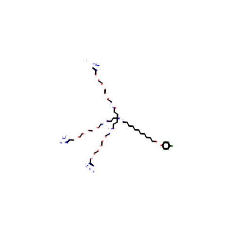 Cn1cc(COCCOCCOCCNC(=O)CCC(CCC(=O)NCCOCCOCCOCc2cn(C)nn2)(CCC(=O)NCCOCCOCCOCc2cn(C)nn2)NC(=O)CCCCCCCCCCC(=O)Oc2c(F)c(F)c(F)c(F)c2F)nn1